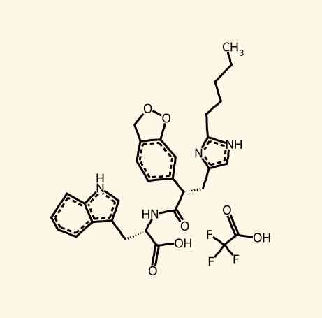 CCCCCc1nc(C[C@H](C(=O)N[C@@H](Cc2c[nH]c3ccccc23)C(=O)O)c2ccc3c(c2)OOC3)c[nH]1.O=C(O)C(F)(F)F